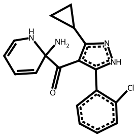 NC1(C(=O)c2c(C3CC3)n[nH]c2-c2ccccc2Cl)C=CC=CN1